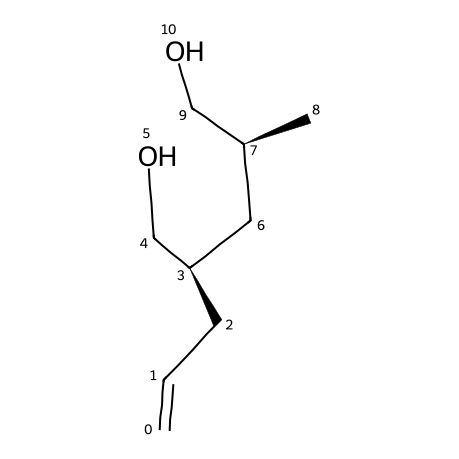 C=CC[C@@H](CO)C[C@H](C)CO